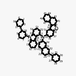 c1ccc(-c2cccc(-n3c4ccccc4c4c(N(c5ccc6ccc(-c7ccccc7)cc6c5)c5ccc6oc7ccc8ccccc8c7c6c5)cccc43)c2)cc1